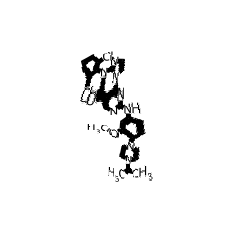 COc1cc(Nc2ncc3c(=O)n(-c4c(Cl)cccc4Cl)c4nccn4c3n2)ccc1N1CCN(C(C)C)CC1